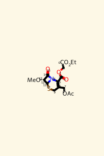 CCOC(=O)COC(=O)C1=C(COC(C)=O)CSC2[C@H](OC)C(=O)N12